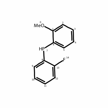 COc1ccccc1Pc1ccccc1F